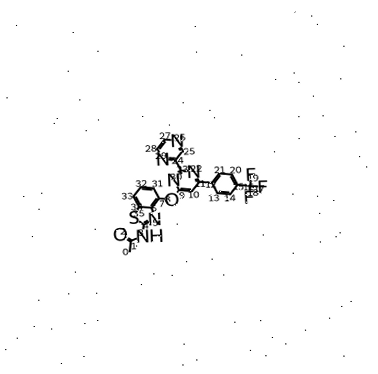 CC(=O)Nc1nc2c(Oc3cc(-c4ccc(C(F)(F)F)cc4)nc(-c4cnccn4)n3)cccc2s1